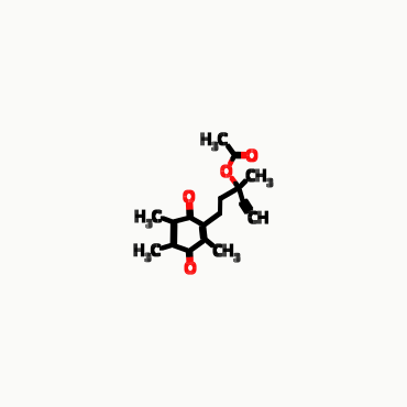 C#CC(C)(CCC1=C(C)C(=O)C(C)=C(C)C1=O)OC(C)=O